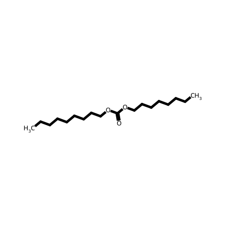 CCCCCCCCCOC(=O)OCCCCCCCC